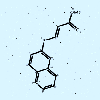 COC(=O)/C=C/Sc1ccc2ccccc2c1